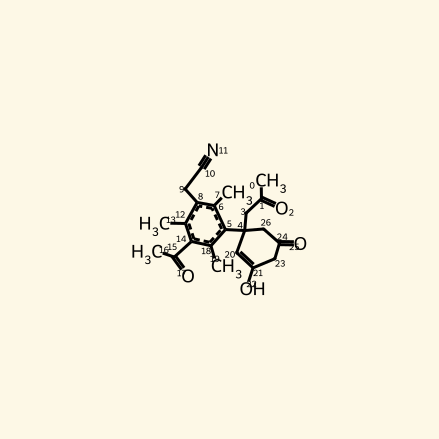 CC(=O)CC1(c2c(C)c(CC#N)c(C)c(C(C)=O)c2C)C=C(O)CC(=O)C1